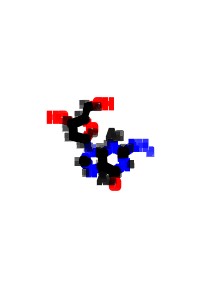 CC(=O)N1C(N)=NC(=O)C2(C(C)=O)N=CN([C@H]3CC(O)[C@@H](CO)O3)C12